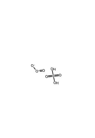 O=S(=O)(O)O.O=[O+][O-]